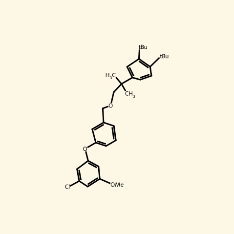 COc1cc(Cl)cc(Oc2cccc(COCC(C)(C)c3ccc(C(C)(C)C)c(C(C)(C)C)c3)c2)c1